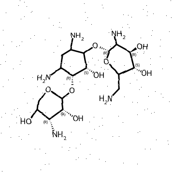 NCC1O[C@H](OC2C(N)CC(N)[C@@H](OC3OCC(O)[C@@H](N)[C@H]3O)[C@H]2O)C(N)[C@@H](O)[C@@H]1O